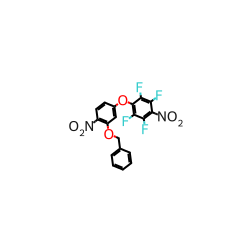 O=[N+]([O-])c1ccc(Oc2c(F)c(F)c([N+](=O)[O-])c(F)c2F)cc1OCc1ccccc1